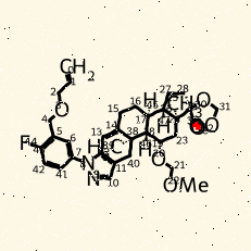 C=CCOCc1cc(-n2ncc3c2C=C2CC[C@@H]4[C@H]([C@@H](OCOC)C[C@@]5(C)[C@H]4CC[C@@]54OCOC45COCO5)[C@@]2(C)C3)ccc1F